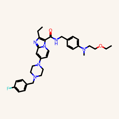 CCOCCN(C)c1ccc(CNC(=O)c2c(CC)nc3cc(N4CCN(Cc5ccc(F)cc5)CC4)ccn23)cc1